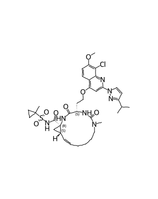 COc1ccc2c(OCC[C@@H]3NC(=O)N(C)CCCCC=C[C@@H]4C[C@@]4(C(=O)NS(=O)(=O)C4(C)CC4)NC3=O)cc(-n3ccc(C(C)C)n3)nc2c1Cl